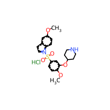 COc1ccc2c(ccn2S(=O)(=O)c2ccc(OC)c(OC3CCNCC3)c2)c1.Cl